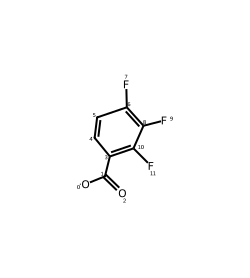 [O]C(=O)c1ccc(F)c(F)c1F